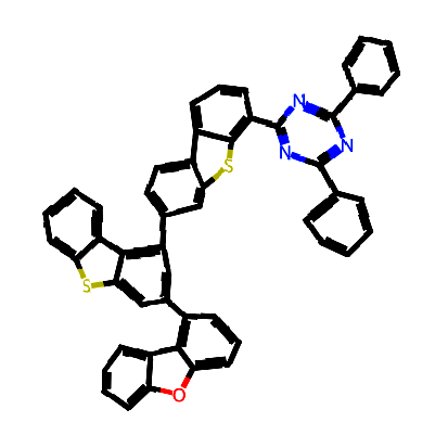 c1ccc(-c2nc(-c3ccccc3)nc(-c3cccc4c3sc3cc(-c5cc(-c6cccc7oc8ccccc8c67)cc6sc7ccccc7c56)ccc34)n2)cc1